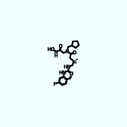 C[C@H](CNC(=O)Nc1cc(F)ccc1F)CC(=O)N(CC(=O)NO)CC1CCCC1